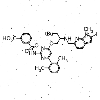 Cc1cccc(C)c1-c1cc(OC[C@@H](CC(C)(C)C)NCc2ccc3cc(I)n(C)c3n2)nc(NS(=O)(=O)c2cccc(C(=O)O)c2)n1